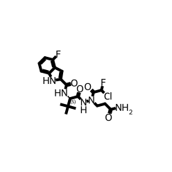 CC(C)(C)[C@H](NC(=O)c1cc2c(F)cccc2[nH]1)C(=O)NN(CCC(N)=O)C(=O)C(F)Cl